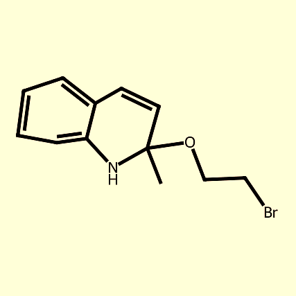 CC1(OCCBr)C=Cc2ccccc2N1